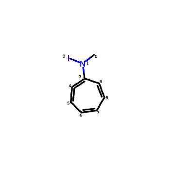 CN(I)C1=C=CC=CC=C1